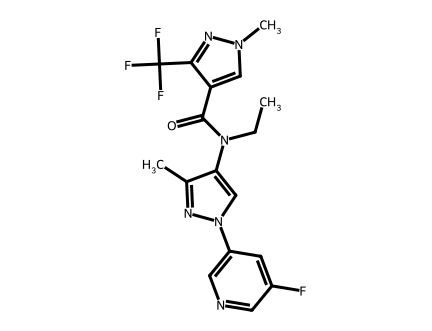 CCN(C(=O)c1cn(C)nc1C(F)(F)F)c1cn(-c2cncc(F)c2)nc1C